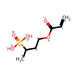 C=CC(=O)OCCC(C)P(=O)(O)O